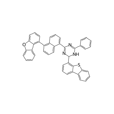 c1ccc(C2=NC(c3cccc4c(-c5cccc6oc7ccccc7c56)cccc34)=NC(c3cccc4c3sc3ccccc34)N2)cc1